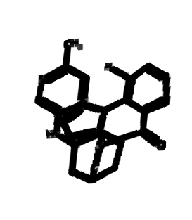 Cc1cnc(NC2CC3CCC2N(C(=O)c2cccc(F)c2-n2nccn2)C3)cn1